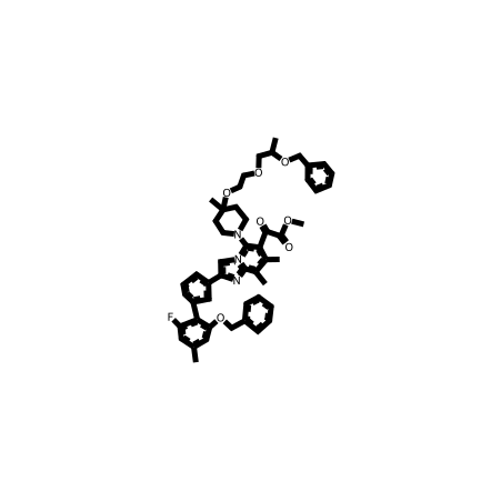 COC(=O)C(=O)c1c(C)c(C)c2nc(-c3cccc(-c4c(F)cc(C)cc4OCc4ccccc4)c3)cn2c1N1CCC(C)(OCCOCC(C)OCc2ccccc2)CC1